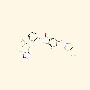 CO[C@H]1CCN(Cc2cc3c(c(C(F)(F)F)c2)CN(c2cccc(C4([C@H](F)c5nncn5C)COC4)c2)C3=O)C1